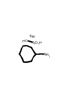 NC1CCCCC1.O=S(=O)(O)O.[NaH]